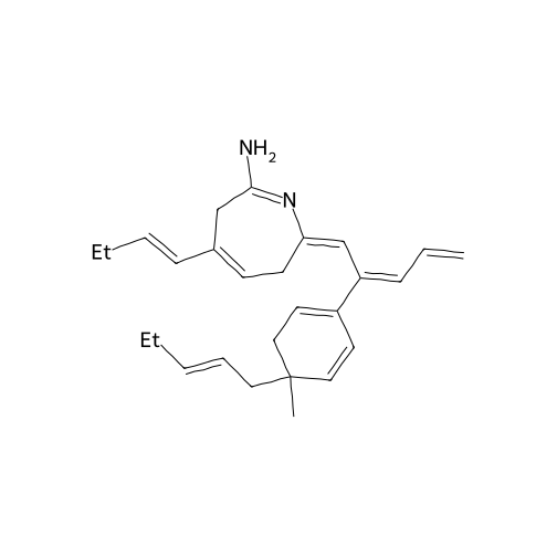 C=C/C=C(\C=C1/CC=C(/C=C/CC)CC(N)=N1)C1=CCC(C)(C/C=C/CC)C=C1